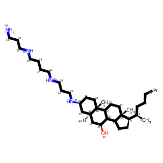 CC(C)CCC[C@@H](C)[C@H]1CCC2C3C(CC[C@@]21C)[C@@]1(C)CC[C@H](NCCCNCCCCNCCCN)C[C@@H]1C[C@@H]3O